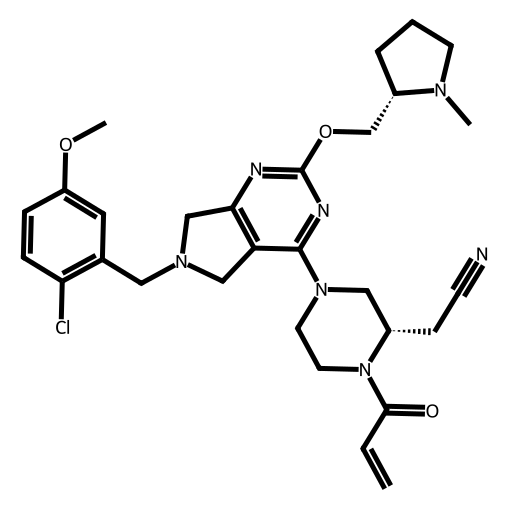 C=CC(=O)N1CCN(c2nc(OC[C@@H]3CCCN3C)nc3c2CN(Cc2cc(OC)ccc2Cl)C3)C[C@@H]1CC#N